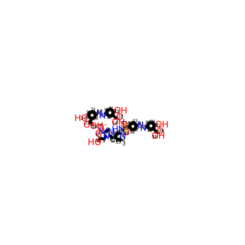 Cc1ncc([N+](=O)[O-])n1CCO.O=C(O)c1cc(/N=N/c2ccc(O)c(C(=O)O)c2)ccc1O.O=C(O)c1cc(/N=N/c2ccc(S(=O)(=O)Nc3ccccn3)cc2)ccc1O